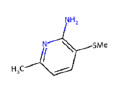 CSc1ccc(C)nc1N